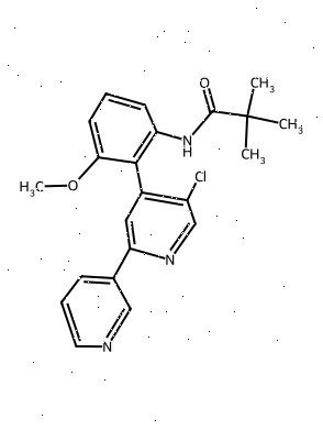 COc1cccc(NC(=O)C(C)(C)C)c1-c1cc(-c2cccnc2)ncc1Cl